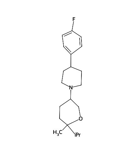 CC(C)C1(C)CCC(N2CCC(c3ccc(F)cc3)CC2)CO1